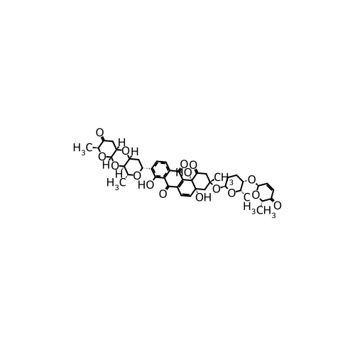 C[C@@H]1O[C@@H](O[C@H]2CC[C@H](O[C@@]3(C)CC(=O)[C@]4(O)C5=C(C=C[C@]4(O)C3)C(=O)c3c(ccc([C@H]4C[C@H]6O[C@H]7CC(=O)[C@H](C)O[C@H]7O[C@@H]6[C@@H](C)O4)c3O)C5=O)O[C@H]2C)C=CC1=O